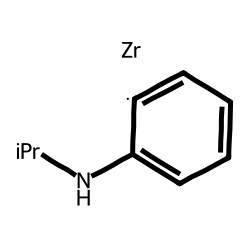 CC(C)Nc1[c]cccc1.[Zr]